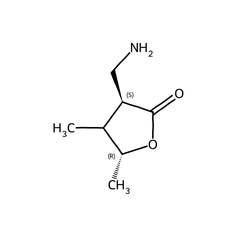 CC1[C@@H](C)OC(=O)[C@@H]1CN